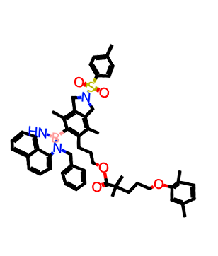 Cc1ccc(S(=O)(=O)N2Cc3c(C)c(CCCOC(=O)C(C)(C)CCCOc4cc(C)ccc4C)c(B4Nc5cccc6cccc(c56)N4Cc4ccccc4)c(C)c3C2)cc1